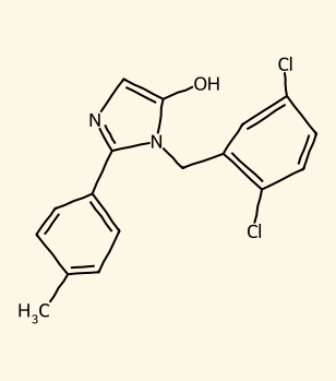 Cc1ccc(-c2ncc(O)n2Cc2cc(Cl)ccc2Cl)cc1